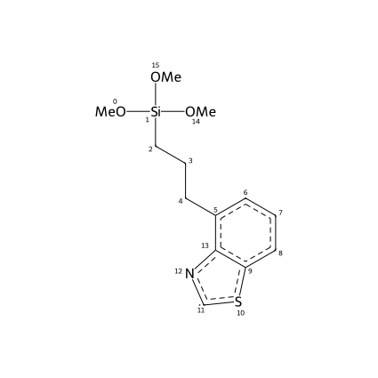 CO[Si](CCCc1cccc2s[c]nc12)(OC)OC